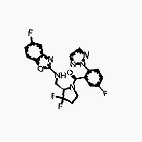 O=C(c1cc(F)ccc1-n1nccn1)N1CCC(F)(F)[C@H]1CNc1nc2cc(F)ccc2o1